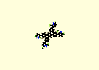 Fc1ccc(-c2ccc(-c3cc(-c4ccc(-c5ccc(F)nc5F)cc4)c(-c4ccc(-c5ccc(F)nc5F)cc4)cc3-c3ccc(-c4ccc(F)nc4F)cc3)cc2)c(F)n1